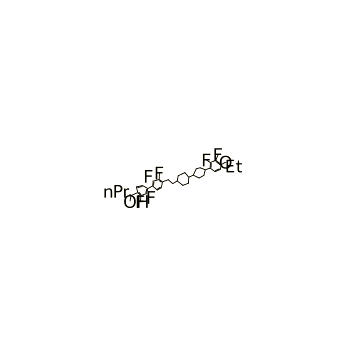 CCCC(O)c1ccc(-c2ccc(CCC3CCC(C4CCC(c5ccc(OCC)c(F)c5F)CC4)CC3)c(F)c2F)c(F)c1F